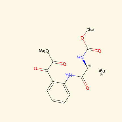 CC[C@H](C)[C@H](NC(=O)OC(C)(C)C)C(=O)Nc1ccccc1C(=O)C(=O)OC